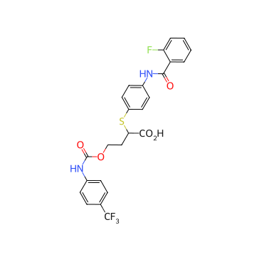 O=C(Nc1ccc(C(F)(F)F)cc1)OCCC(Sc1ccc(NC(=O)c2ccccc2F)cc1)C(=O)O